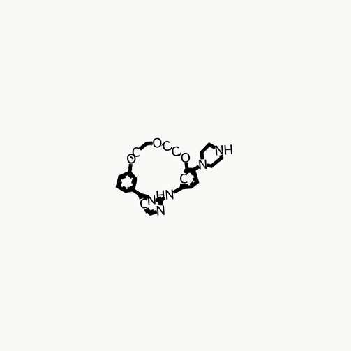 c1cc2cc(c1)-c1ccnc(n1)Nc1ccc(N3CCNCC3)c(c1)OCCOCCO2